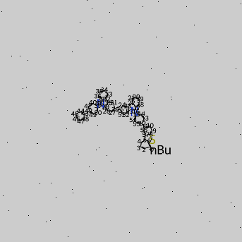 CCCCc1cccc2c1sc1ccc(-c3ccc(-n4c5ccccc5c5cc(C6=CC=C7C(C6)c6ccccc6N7c6ccc(-c7ccccc7)cc6)ccc54)cc3)cc12